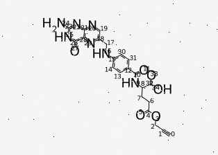 C#CCOC(=O)CCC(NC(=O)c1ccc(NCc2cnc3nc(N)[nH]c(=O)c3n2)cc1)C(=O)O